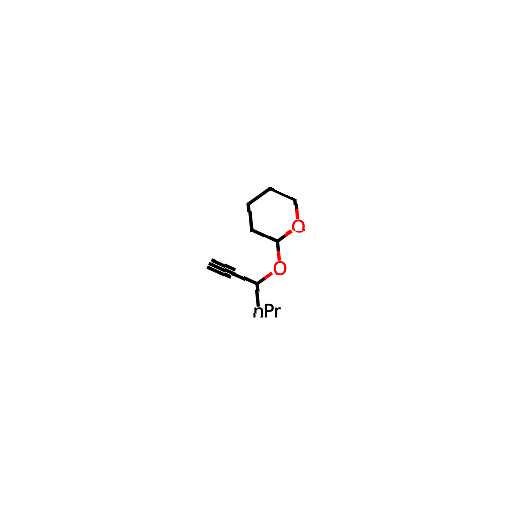 C#CC(CCC)OC1CCCCO1